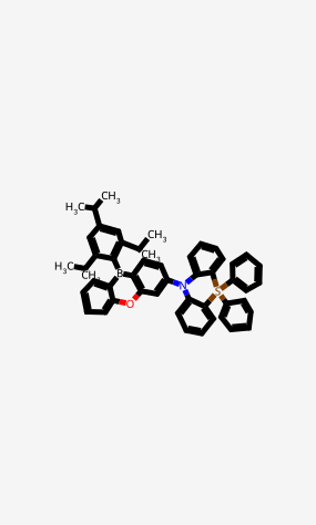 CC(C)c1cc(C(C)C)c(B2c3ccccc3Oc3cc(N4c5ccccc5S(c5ccccc5)(c5ccccc5)c5ccccc54)ccc32)c(C(C)C)c1